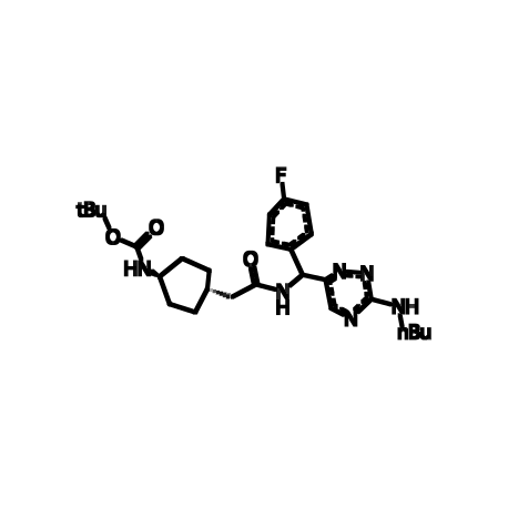 CCCCNc1ncc(C(NC(=O)C[C@H]2CC[C@H](NC(=O)OC(C)(C)C)CC2)c2ccc(F)cc2)nn1